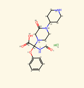 Cl.O=CNC(Oc1ccccc1)(C(=O)O)N1CCN(C2CCNCC2)C(=O)C1